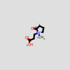 C[N+]1(CCC(=O)O)CCCC1=O